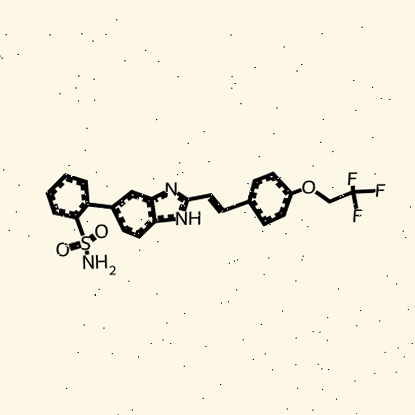 NS(=O)(=O)c1ccccc1-c1ccc2[nH]c(C=Cc3ccc(OCC(F)(F)F)cc3)nc2c1